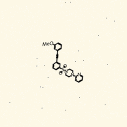 COc1cccc(C#Cc2cccc(S(=O)(=O)N3CCN(c4ccccn4)CC3)c2)c1